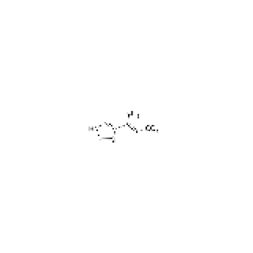 C/C(=C\C(=O)O)c1c[nH]cn1